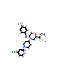 CC(C)C1CN(C2CCN(c3cc(Cl)ccn3)CC2)[C@@H](Cc2ccc(Cl)cc2)CO1